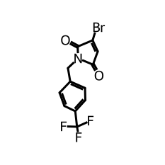 O=C1C=C(Br)C(=O)N1Cc1ccc(C(F)(F)F)cc1